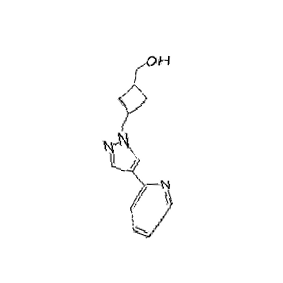 OCC1CC(n2cc(-c3ccccn3)cn2)C1